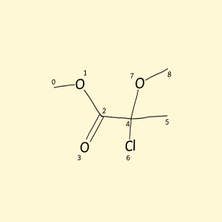 COC(=O)C(C)(Cl)OC